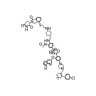 CC1(C)CCC(CN2CCN(c3ccc(C(=O)NS(=O)(=O)c4ccc(NCC5CCC(NCCSc6cccc7c6CN(C6CCC(=O)NC6=O)C7=O)CC5)c([N+](=O)[O-])c4)c(Oc4cnc5[nH]ccc5c4)c3)CC2)=C(c2ccc(Cl)cc2)C1